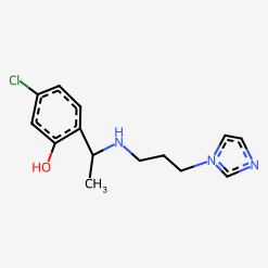 CC(NCCCn1ccnc1)c1ccc(Cl)cc1O